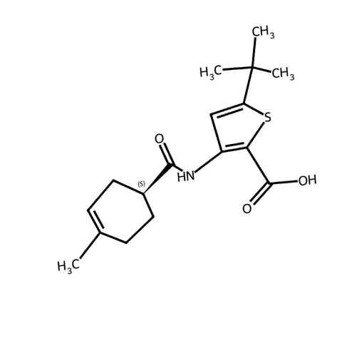 CC1=CC[C@@H](C(=O)Nc2cc(C(C)(C)C)sc2C(=O)O)CC1